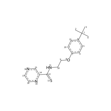 CC(C)(C)c1ccc(OCCNC(=S)c2cnccn2)cc1